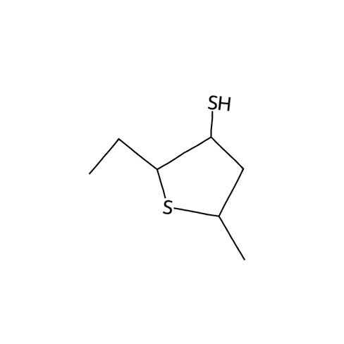 CCC1SC(C)CC1S